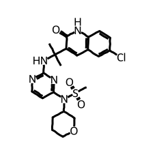 CC(C)(Nc1nccc(N(C2CCCOC2)S(C)(=O)=O)n1)c1cc2cc(Cl)ccc2[nH]c1=O